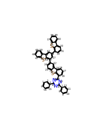 c1ccc(-c2nc(-c3ccccc3)nc(-c3cccc4c3sc3ccc(-c5cc(-c6cccc7c6sc6ccccc67)cc6c5sc5ccccc56)cc34)n2)cc1